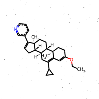 CCOC1=CC2=C(C3CC3)C[C@@H]3[C@H](CC[C@]4(C)C(c5cccnc5)=CC[C@@H]34)[C@@]2(C)CC1